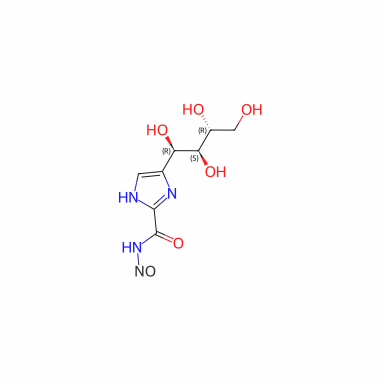 O=NNC(=O)c1nc([C@@H](O)[C@H](O)[C@H](O)CO)c[nH]1